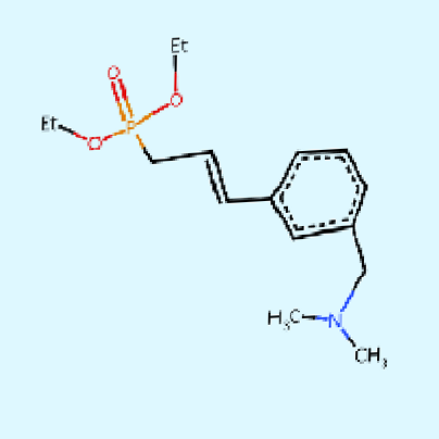 CCOP(=O)(C/C=C/c1cccc(CN(C)C)c1)OCC